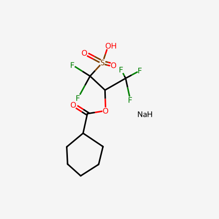 O=C(OC(C(F)(F)F)C(F)(F)S(=O)(=O)O)C1CCCCC1.[NaH]